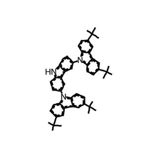 CC(C)(C)c1ccc2c(c1)c1cc(C(C)(C)C)ccc1n2-c1ccc2[nH]c3ccc(-n4c5ccc(C(C)(C)C)cc5c5cc(C(C)(C)C)ccc54)cc3c2c1